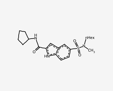 CCCCCCN(C)S(=O)(=O)c1ccc2[nH]c(C(=O)NC3CCCC3)cc2c1